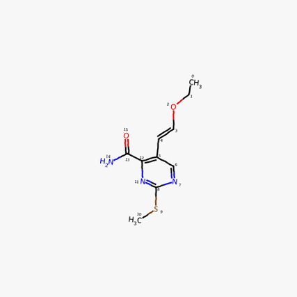 CCOC=Cc1cnc(SC)nc1C(N)=O